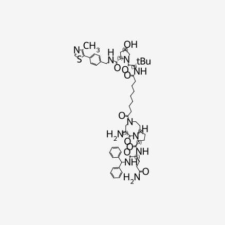 Cc1ncsc1-c1ccc(CNC(=O)[C@@H]2C[C@@H](O)CN2C(=O)[C@@H](NC(=O)CCCCCCCC(=O)N2CC[C@H]3CC[C@@H](C(=O)N[C@@H](CCC(N)=O)C(=O)NC(c4ccccc4)c4ccccc4)N3C(=O)[C@@H](N)C2)C(C)(C)C)cc1